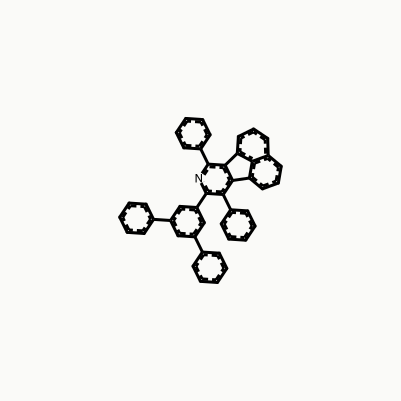 c1ccc(-c2cc(-c3ccccc3)cc(-c3nc(-c4ccccc4)c4c(c3-c3ccccc3)-c3cccc5cccc-4c35)c2)cc1